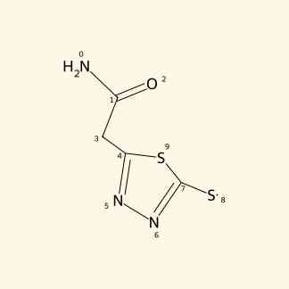 NC(=O)Cc1nnc([S])s1